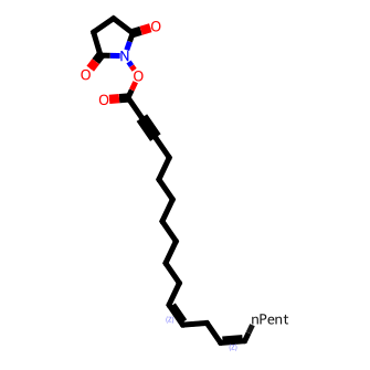 CCCCC/C=C\C/C=C\CCCCCCCC#CC(=O)ON1C(=O)CCC1=O